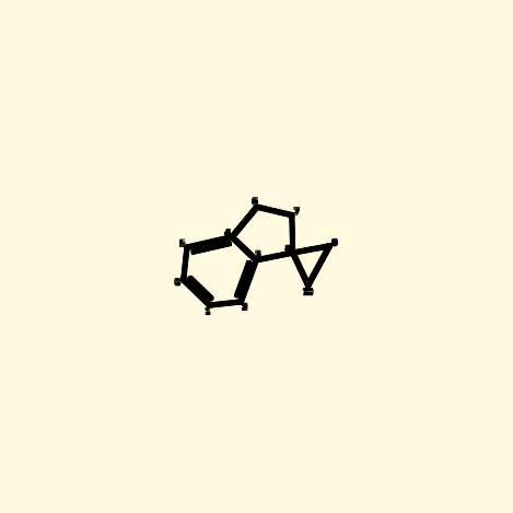 c1ccc2c(c1)CCC21CC1